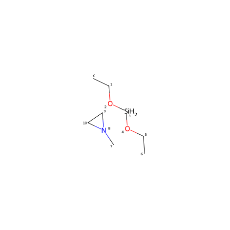 CCO[SiH2]OCC.CN1CC1